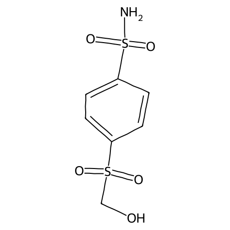 NS(=O)(=O)c1ccc(S(=O)(=O)CO)cc1